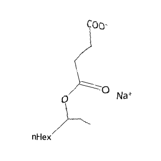 CCCCCCC(C)OC(=O)CCC(=O)[O-].[Na+]